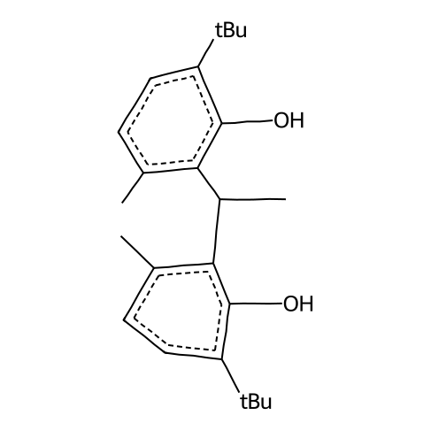 Cc1ccc(C(C)(C)C)c(O)c1C(C)c1c(C)ccc(C(C)(C)C)c1O